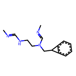 C/N=C/NCCN(/C=N/C)CC1c2ccccc21